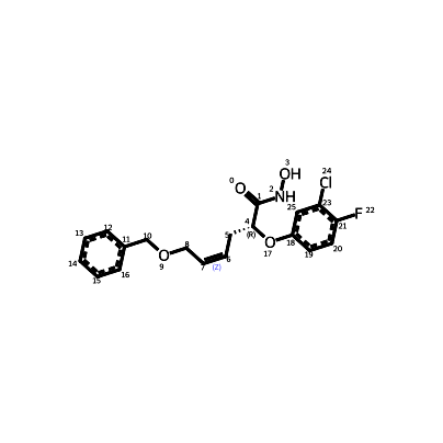 O=C(NO)[C@@H](C/C=C\COCc1ccccc1)Oc1ccc(F)c(Cl)c1